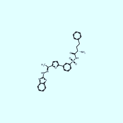 C/C(=N\Nc1nc2ccccc2s1)c1ccc(-c2cccc(S(=O)(=O)NC(=O)[C@@H](N)CCc3ccccc3)c2)o1